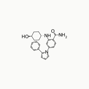 NC(=O)c1ccc(-n2cccc2-c2ccccc2)cc1N[C@H]1CC[C@H](O)CC1